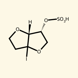 O=S(=O)(O)O[C@@H]1COC2(I)CCO[C@H]12